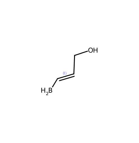 B/C=C/CO